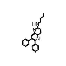 CCCCNc1ccc2nc(-c3cc[c]cc3)c(-c3ccccc3)cc2n1